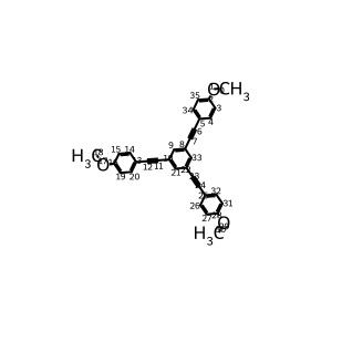 COc1ccc(C#Cc2cc(C#Cc3ccc(OC)cc3)cc(C#Cc3ccc(OC)cc3)c2)cc1